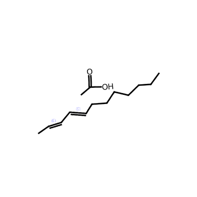 C/C=C/C=C/CCCCCCC.CC(=O)O